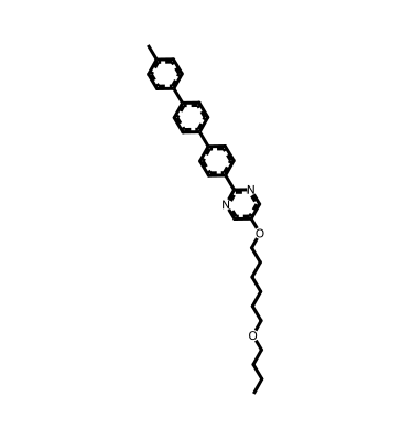 CCCCOCCCCCCOc1cnc(-c2ccc(-c3ccc(-c4ccc(C)cc4)cc3)cc2)nc1